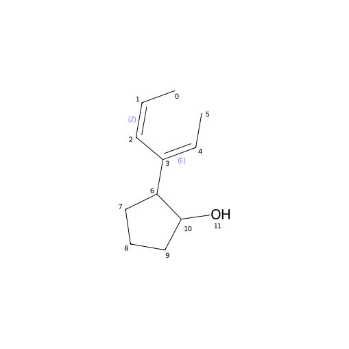 C/C=C\C(=C/C)C1CCCC1O